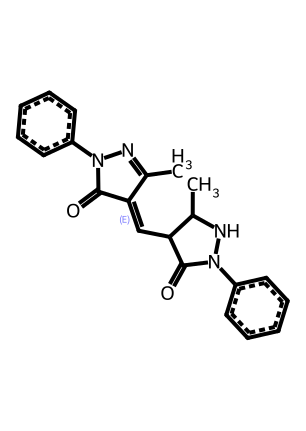 CC1=NN(c2ccccc2)C(=O)/C1=C/C1C(=O)N(c2ccccc2)NC1C